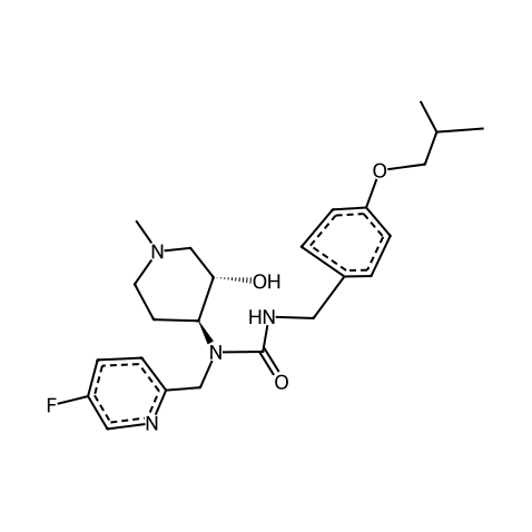 CC(C)COc1ccc(CNC(=O)N(Cc2ccc(F)cn2)[C@H]2CCN(C)C[C@@H]2O)cc1